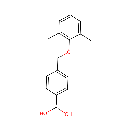 Cc1cccc(C)c1OCc1ccc(B(O)O)cc1